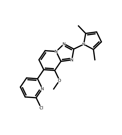 COc1c(-c2cccc(Cl)n2)ccn2nc(-n3c(C)ccc3C)nc12